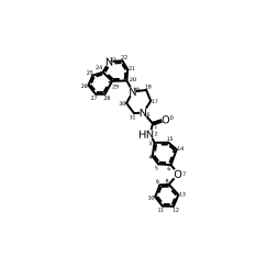 O=C(Nc1ccc(Oc2ccccc2)cc1)N1CCN(c2ccnc3ccccc23)CC1